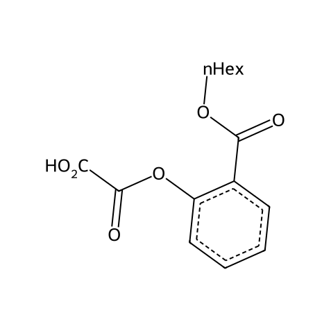 CCCCCCOC(=O)c1ccccc1OC(=O)C(=O)O